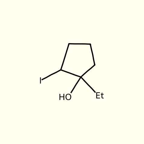 CCC1(O)CCCC1I